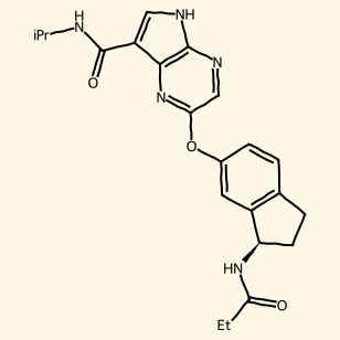 CCC(=O)N[C@@H]1CCc2ccc(Oc3cnc4[nH]cc(C(=O)NC(C)C)c4n3)cc21